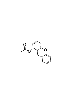 CC(=O)Oc1cccc2c1Cc1ccccc1O2